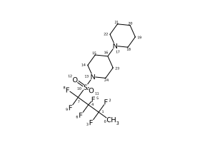 CC(F)(F)C(F)(F)C(F)(F)S(=O)(=O)N1CCC(N2CCCCC2)CC1